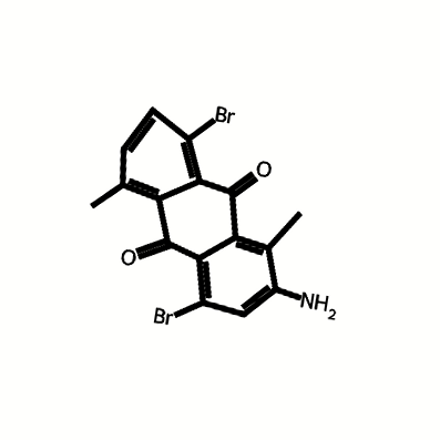 Cc1ccc(Br)c2c1C(=O)c1c(Br)cc(N)c(C)c1C2=O